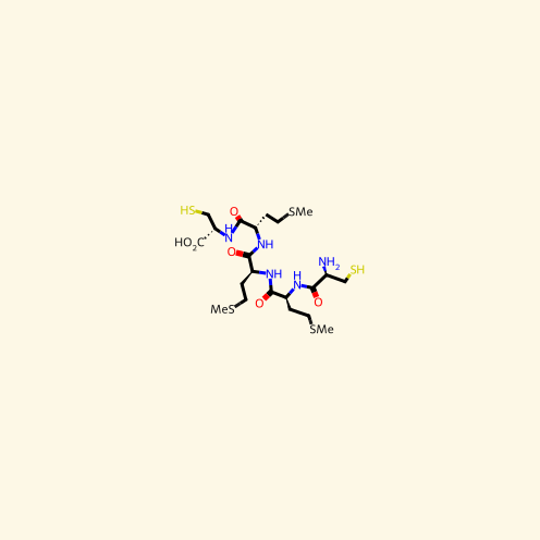 CSCC[C@H](NC(=O)[C@H](CCSC)NC(=O)[C@H](CCSC)NC(=O)[C@@H](N)CS)C(=O)N[C@@H](CS)C(=O)O